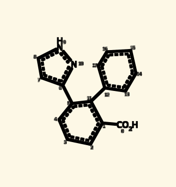 O=C(O)c1cccc(-c2cc[nH]n2)c1-c1ccccc1